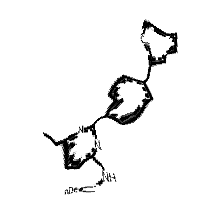 CCCCCCCCCCNc1cc(C)nc(-c2ccc(-c3ccccc3)cc2)n1